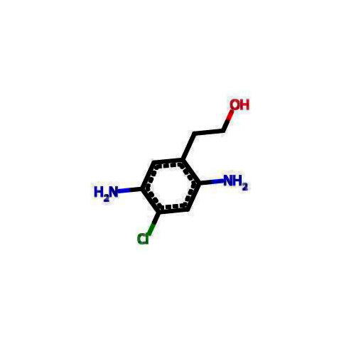 Nc1cc(CCO)c(N)cc1Cl